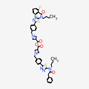 CCCCN(C(=O)Cc1ccccc1)c1nnc(-c2ccc(CN3CC(C(=O)OC(=O)C4CN(Cc5ccc(-c6nnc(N(CCCC)C(=O)c7c(F)cccc7F)s6)cc5)C4)C3)cc2)s1